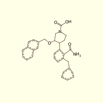 NC(=O)c1c(Cc2ccccc2)cccc1C1CCN(C(=O)O)CC1OCc1ccc2ccccc2c1